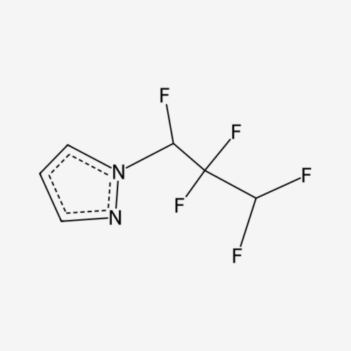 FC(F)C(F)(F)C(F)n1cccn1